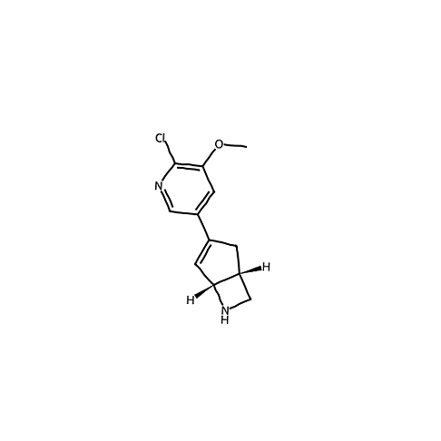 COc1cc(C2=C[C@H]3NC[C@H]3C2)cnc1Cl